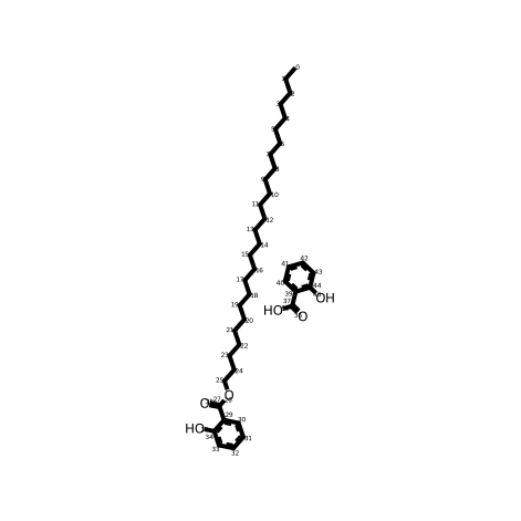 CCCCCCCCCCCCCCCCCCCCCCCCCCOC(=O)c1ccccc1O.O=C(O)c1ccccc1O